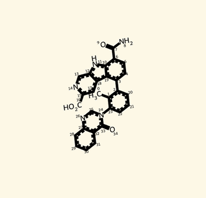 Cc1c(-c2ccc(C(N)=O)c3[nH]c4cnc(C(=O)O)cc4c23)cccc1-n1cnc2ccccc2c1=O